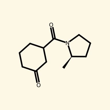 C[C@@H]1CCCN1C(=O)C1CCCC(=O)C1